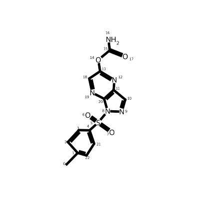 Cc1ccc(S(=O)(=O)n2ncc3nc(OC(N)=O)cnc32)cc1